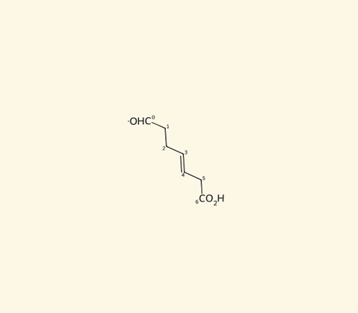 O=[C]CCC=CCC(=O)O